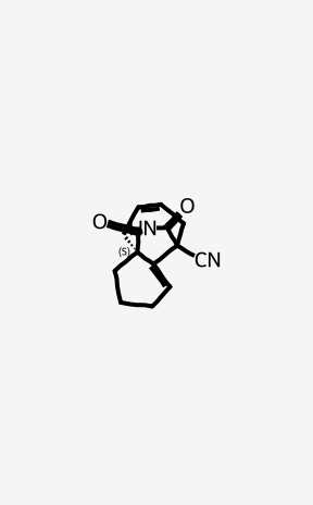 N#CC12CC=CC[C@]3(CCCC=C13)C(=O)NC2=O